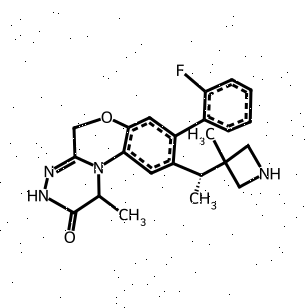 CC1C(=O)NN=C2COc3cc(-c4ccccc4F)c([C@@H](C)C4(C)CNC4)cc3N21